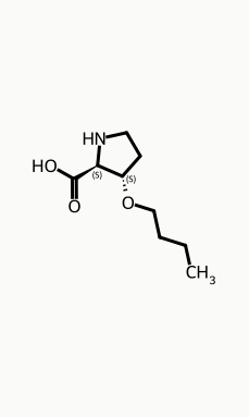 CCCCO[C@H]1CCN[C@@H]1C(=O)O